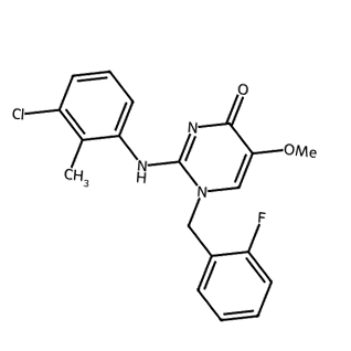 COc1cn(Cc2ccccc2F)c(Nc2cccc(Cl)c2C)nc1=O